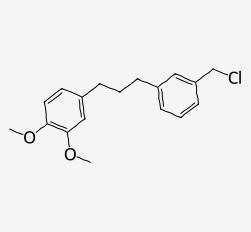 COc1ccc(CCCc2cccc(CCl)c2)cc1OC